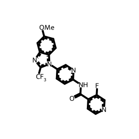 COc1ccc2c(c1)nc(C(F)(F)F)n2-c1ccc(NC(=O)c2ccncc2F)nc1